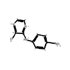 O=[N+]([O-])c1ccc(Nc2nccnc2Cl)cc1